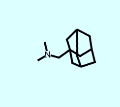 CN(C)CC12CC3CC(CC(C3)C1)C2